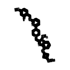 COC1CC(Oc2cccc3c2nc(CN2CCC(c4cccc(OCc5ccc(C#N)cc5F)n4)CC2)n3C)C1